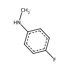 [CH2]Nc1ccc(F)cc1